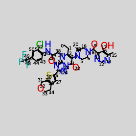 CCc1c(N2CCN(C(=O)c3ncnc(C)c3O)C[C@H]2C)c(=O)n2nc(-c3cc4c(s3)COCC4)nc2n1CC(=O)Nc1ccc(C(F)(F)F)cc1Cl